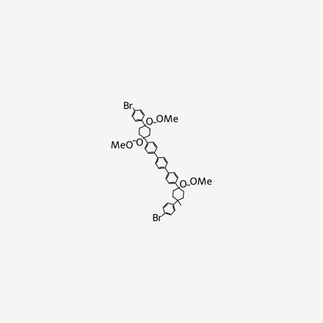 COCOC1(c2ccc(-c3ccc(-c4ccc(C5(OCOC)CCC(OCOC)(c6ccc(Br)cc6)CC5)cc4)cc3)cc2)CCC(C)(c2ccc(Br)cc2)CC1